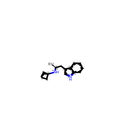 CC[C@@H](Cc1c[nH]c2ccccc12)NC12CC(C1)C2